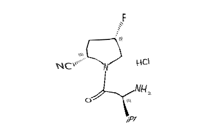 CC(C)[C@H](N)C(=O)N1C[C@@H](F)C[C@H]1C#N.Cl